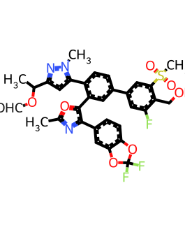 Cc1nc(-c2ccc3c(c2)OC(F)(F)O3)c(-c2cc(-c3cc(F)c(CO)c(S(C)(=O)=O)c3)ccc2-c2cc(C(C)OC=O)nn2C)o1